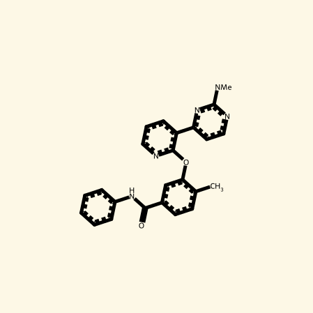 CNc1nccc(-c2cccnc2Oc2cc(C(=O)Nc3ccccc3)ccc2C)n1